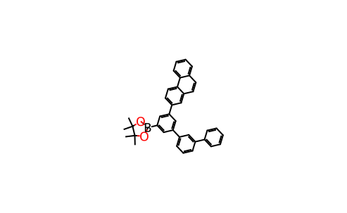 CC1(C)OB(c2cc(-c3cccc(-c4ccccc4)c3)cc(-c3ccc4c(ccc5ccccc54)c3)c2)OC1(C)C